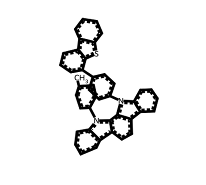 Cc1ccc(-n2c3ccccc3c3ccc4c5ccccc5n(-c5ccc(-c6cccc7c6sc6ccccc67)cc5)c4c32)cc1